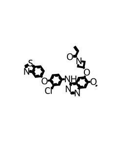 C=CC(=O)N1CC(Oc2cc3c(Nc4ccc(Oc5ccc6scnc6c5)c(Cl)c4)ncnc3cc2OC)C1